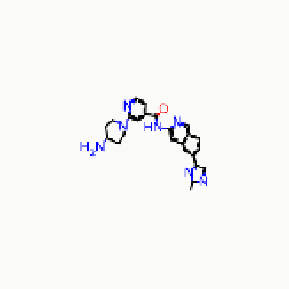 CC1N=CC(c2ccc3cnc(NC(=O)c4ccnc(N5CCC(N)CC5)c4)cc3c2)=N1